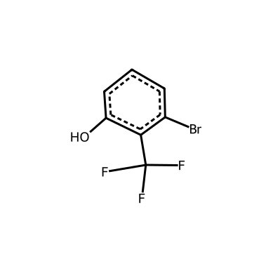 Oc1cccc(Br)c1C(F)(F)F